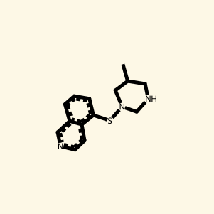 CC1CNCN(Sc2cccc3cnccc23)C1